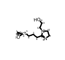 C1CO1.CCCCCCCCCCCC1=NCCN1CCO